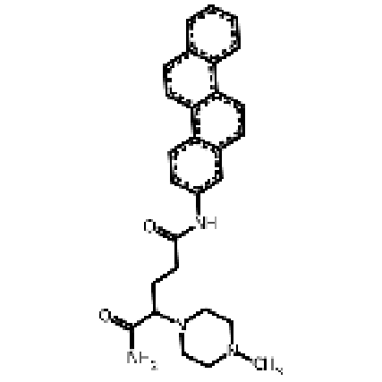 CN1CCN(C(CCC(=O)Nc2ccc3c(ccc4c5ccccc5ccc34)c2)C(N)=O)CC1